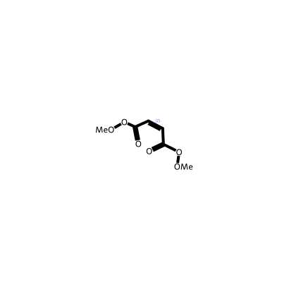 COOC(=O)/C=C\C(=O)OOC